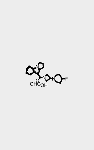 O=C(c1c2n(c3ccccc13)CCC2)N1CC(N2CCC(F)CC2)C1.O=CO